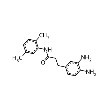 Cc1ccc(C)c(NC(=O)CCc2ccc(N)c(N)c2)c1